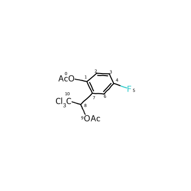 CC(=O)Oc1ccc(F)cc1C(OC(C)=O)C(Cl)(Cl)Cl